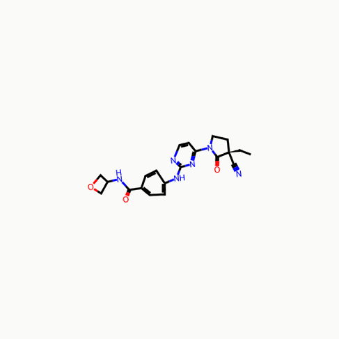 CC[C@]1(C#N)CCN(c2ccnc(Nc3ccc(C(=O)NC4COC4)cc3)n2)C1=O